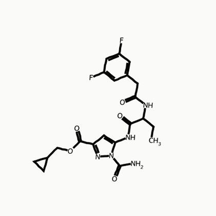 CCC(NC(=O)Cc1cc(F)cc(F)c1)C(=O)Nc1cc(C(=O)OCC2CC2)nn1C(N)=O